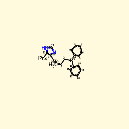 C=CCB(c1ccccc1)c1ccccc1.CC(C)c1nc[nH]c1C(C)C